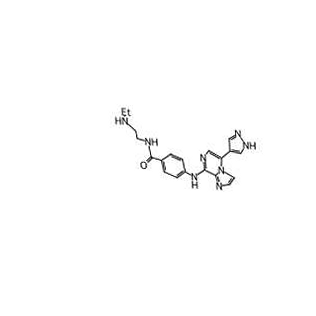 CCNCCNC(=O)c1ccc(Nc2ncc(-c3cn[nH]c3)n3ccnc23)cc1